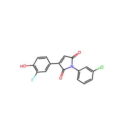 O=C1C=C(c2ccc(O)c(F)c2)C(=O)N1c1cccc(Cl)c1